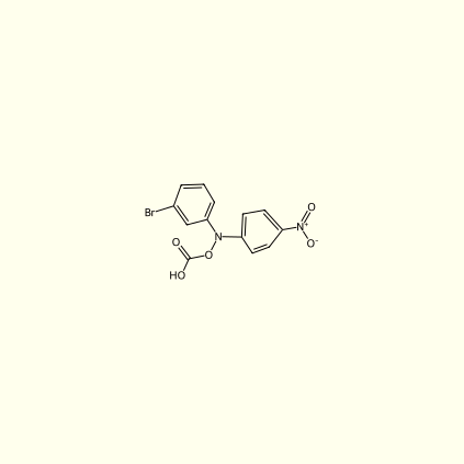 O=C(O)ON(c1ccc([N+](=O)[O-])cc1)c1cccc(Br)c1